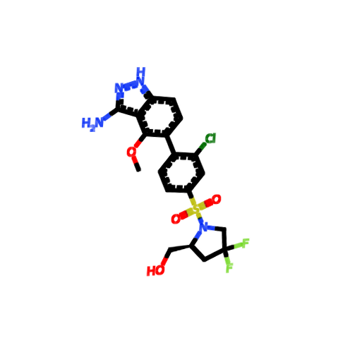 COc1c(-c2ccc(S(=O)(=O)N3CC(F)(F)C[C@H]3CO)cc2Cl)ccc2[nH]nc(N)c12